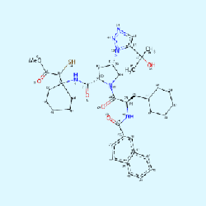 COC(=O)C(S)C1(NC(=O)[C@@H]2C[C@H](n3nncc3C(C)(C)O)CN2C(=O)[C@@H](CC2CCCCC2)NC(=O)c2ccc3ccccc3c2)CCCCC1